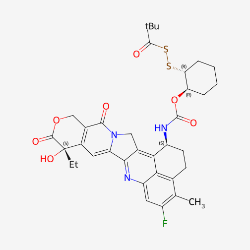 CC[C@@]1(O)C(=O)OCc2c1cc1n(c2=O)Cc2c-1nc1cc(F)c(C)c3c1c2[C@@H](NC(=O)O[C@@H]1CCCC[C@H]1SSC(=O)C(C)(C)C)CC3